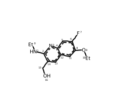 CCNc1nc2cc(F)c(OCC)cc2cc1CO